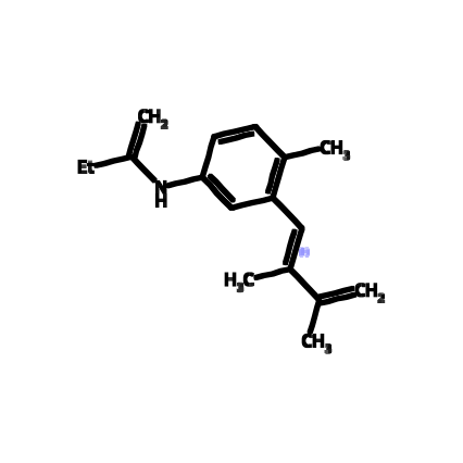 C=C(CC)Nc1ccc(C)c(/C=C(\C)C(=C)C)c1